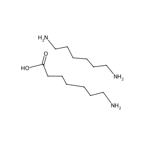 NCCCCCCC(=O)O.NCCCCCCN